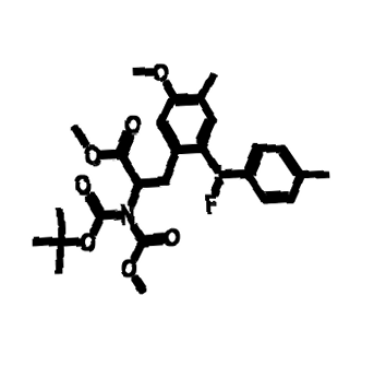 COC(=O)C(Cc1cc(OC)c(C)cc1I(F)c1ccc(C)cc1)N(C(=O)OC)C(=O)OC(C)(C)C